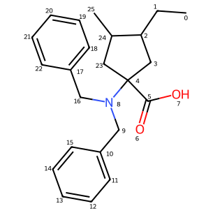 CCC1CC(C(=O)O)(N(Cc2ccccc2)Cc2ccccc2)CC1C